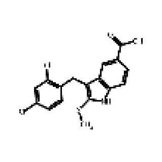 CSc1[nH]c2ccc(C(=O)O)cc2c1Cc1ccc(Cl)cc1Cl